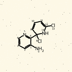 Nc1cccnc1C1(Cl)C=CC=C(Cl)N1